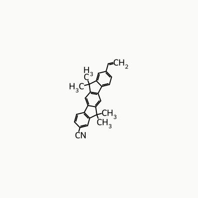 C=Cc1ccc2c(c1)C(C)(C)c1cc3c(cc1-2)C(C)(C)c1cc(C#N)ccc1-3